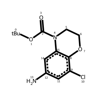 CC(C)(C)OC(=O)N1CCOc2c(Cl)cc(N)cc21